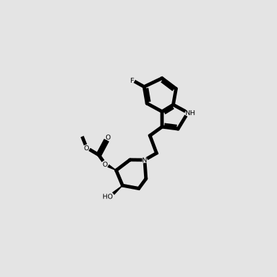 COC(=O)O[C@H]1CN(CCc2c[nH]c3ccc(F)cc23)CC[C@H]1O